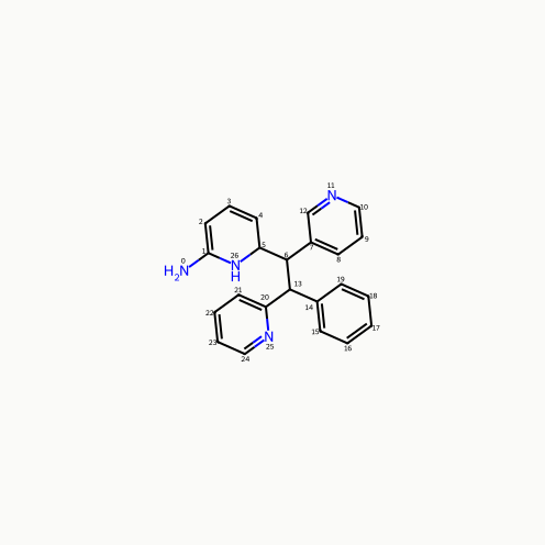 NC1=CC=CC(C(c2cccnc2)C(c2ccccc2)c2ccccn2)N1